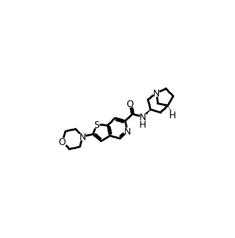 O=C(N[C@@H]1C[C@@H]2CCN(C2)C1)c1cc2sc(N3CCOCC3)cc2cn1